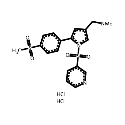 CNCc1cc(-c2ccc(S(C)(=O)=O)cc2)n(S(=O)(=O)c2cccnc2)c1.Cl.Cl